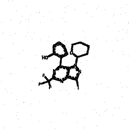 Oc1ccccc1-c1nc(C(F)(F)F)nc2c(I)nn(C3CCCCO3)c12